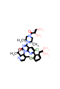 B/C=C(\B)C(=O)N1C[C@H](C)N(c2nc(=O)n(-c3c(CC)ccnc3C(C)C)c3nc(-c4c(F)cccc4C=C(B)B)c(Cl)cc23)[C@@H](C)C1